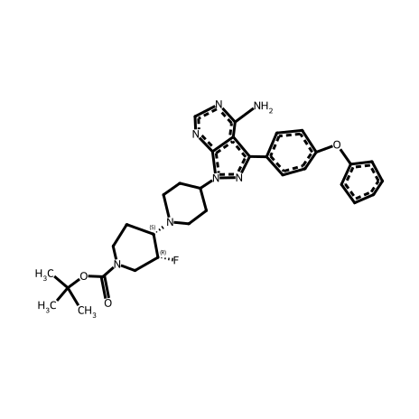 CC(C)(C)OC(=O)N1CC[C@H](N2CCC(n3nc(-c4ccc(Oc5ccccc5)cc4)c4c(N)ncnc43)CC2)[C@H](F)C1